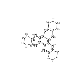 C1CCc2nc3c(nc2C1)c1nc2c(nc1c1nc4c(nc31)CCCC4)CCCC2